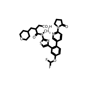 CN(C(=O)C(CC(=O)O)CC1CCOCC1)c1nc(-c2cc(OC(F)F)ccc2-c2ccc(N3CCCC3=O)nc2)cs1